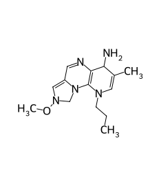 CCCN1C=C(C)C(N)C2=C1N1CN(OC)C=C1C=N2